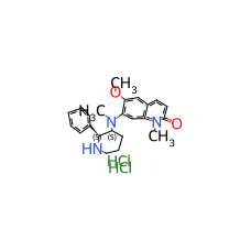 COc1cc2ccc(=O)n(C)c2cc1N(C)[C@H]1CCCN[C@H]1c1ccccc1.Cl.Cl